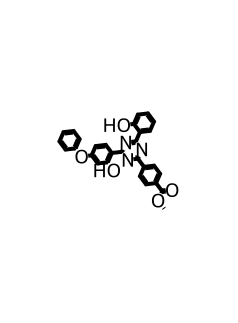 COC(=O)c1ccc(-c2nc(-c3ccccc3O)nc(-c3ccc(Oc4ccccc4)cc3O)n2)cc1